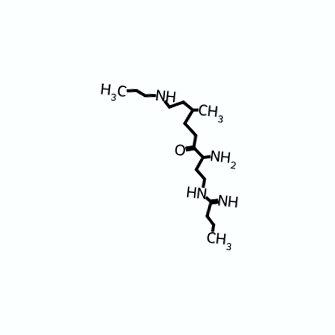 CCCNCCC(C)CCC(=O)C(N)CCNC(=N)CCC